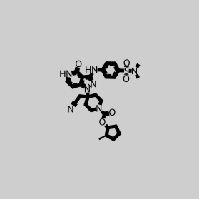 C[C@@H]1CCCC1OC(=O)N1CCC(CC#N)(n2nc(Nc3ccc(S(=O)(=O)N(C)C)cc3)c3c(=O)[nH]ccc32)CC1